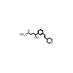 O=C(O)NCCC(O)c1cccc(C=CC2CCOCC2)c1